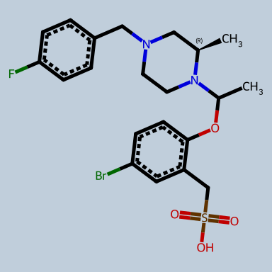 CC(Oc1ccc(Br)cc1CS(=O)(=O)O)N1CCN(Cc2ccc(F)cc2)C[C@H]1C